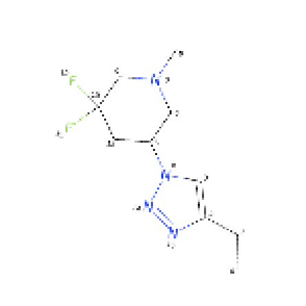 CCc1cn(C2CN(C)CC(F)(F)C2)nn1